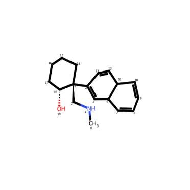 CNC[C@]1(C2=CC3C=CC=CC3C=C2)CCCC[C@H]1O